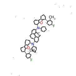 Cc1cc(F)ccc1-c1cccc2c1oc1c(N(c3ccccc3)c3ccc4ccc5c(N(c6ccccc6)c6cccc7c6oc6c(-c8ccc(F)cc8C)cccc67)ccc6ccc3c4c65)cccc12